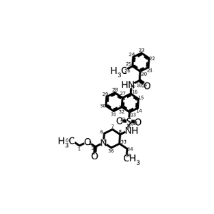 CCOC(=O)N1CCC(NS(=O)(=O)c2ccc(NC(=O)c3ccccc3C)c3ccccc23)C(CC)C1